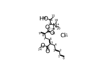 C=CC=CCC(=CCC(=C)C(=O)OC(C(C)O)[N+](C)(C)C)C(=O)OC.[Cl-]